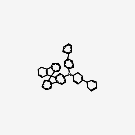 C1=CCC(C2=CCC(N(c3ccc(-c4ccccc4)cc3)c3ccc4c(c3)C3(C5=C(CCC=C5)c5ccccc53)c3ccccc3-4)C=C2)C=C1